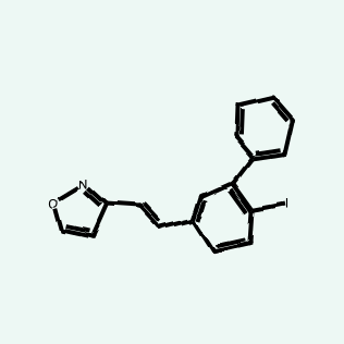 Ic1ccc(C=Cc2ccon2)cc1-c1ccccc1